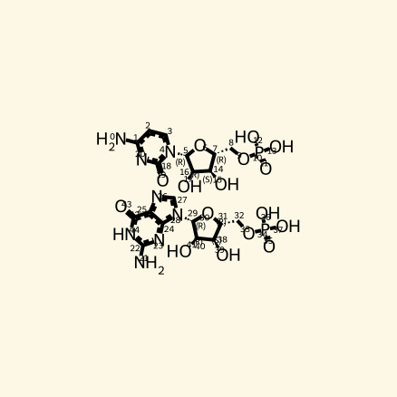 Nc1ccn([C@@H]2O[C@H](COP(=O)(O)O)[C@@H](O)[C@H]2O)c(=O)n1.Nc1nc2c(ncn2[C@@H]2O[C@H](COP(=O)(O)O)[C@@H](O)[C@H]2O)c(=O)[nH]1